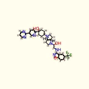 OC(CNc1noc2ccc(C(F)(F)F)cc12)N1CC[C@@H]2[C@H]1CCN2C1CCC(O)(c2ccc(-c3ncccn3)cn2)CC1